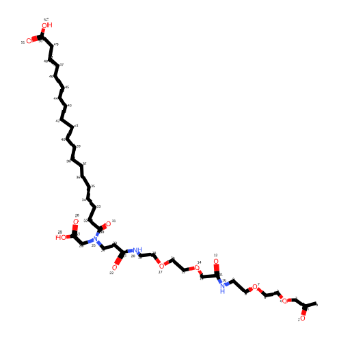 CC(=O)COCCOCCNC(=O)COCCOCCNC(=O)CCN(CC(=O)O)C(=O)CCCCCCCCCCCCCCCCCCC(=O)O